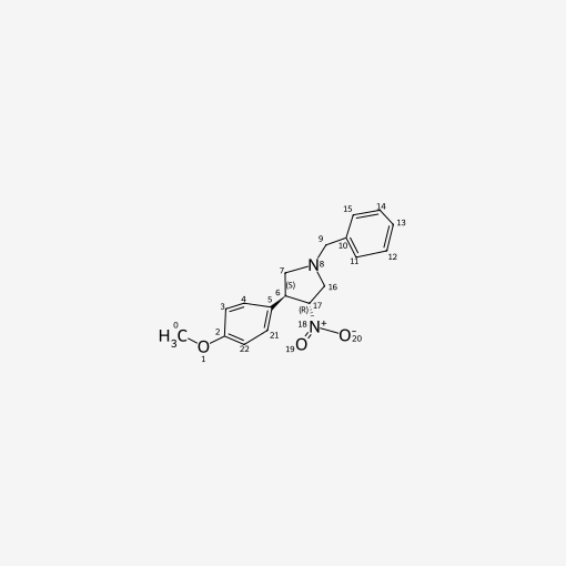 COc1ccc([C@H]2CN(Cc3ccccc3)C[C@@H]2[N+](=O)[O-])cc1